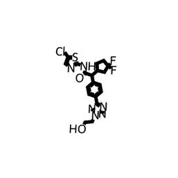 O=C(Nc1ncc(Cl)s1)C(c1ccc(-c2nnn(CCO)n2)cc1)C1CCC(F)(F)C1